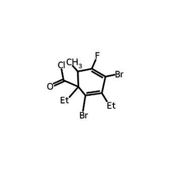 CCC1=C(Br)C(CC)(C(=O)Cl)C(C)C(F)=C1Br